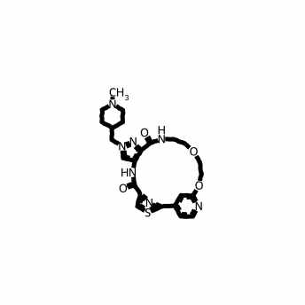 CN1CCC(Cn2cc3c(n2)C(=O)NCCOCCOc2cc(ccn2)-c2nc(cs2)C(=O)N3)CC1